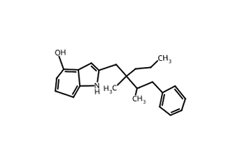 CCCC(C)(Cc1cc2c(O)cccc2[nH]1)[C](C)Cc1ccccc1